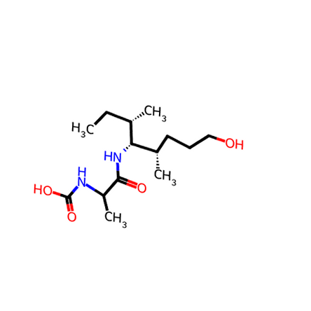 CC[C@H](C)[C@@H](NC(=O)C(C)NC(=O)O)[C@@H](C)CCCO